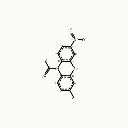 CC(=O)N1c2ccc(C)cc2Sc2cc([N+](=O)[O-])ccc21